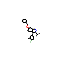 Cc1cc(-c2c(C(C)C)ncc3cc(OCc4ccccc4)ccc23)ccc1F